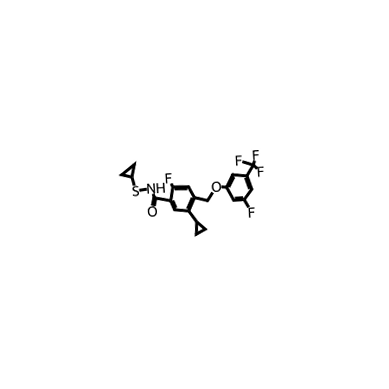 O=C(NSC1CC1)c1cc(C2CC2)c(COc2cc(F)cc(C(F)(F)F)c2)cc1F